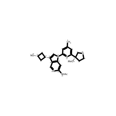 CO[C@@]1(c2cc(C)cc(-n3cc([C@H]4C[C@@H](C#N)C4)c4cnc(NC(C)=O)cc43)n2)CCOC1